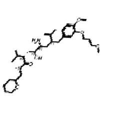 COCCCOc1cc(C[C@@H](C[C@H](N)[C@@H](O)C[C@H](C(=O)NCC2CCCCO2)C(C)C)C(C)C)ccc1OC